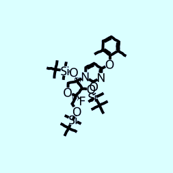 Cc1cccc(C)c1Oc1ccn([C@]2(O[Si](C)(C)C(C)(C)C)CO[C@](F)(CO[Si](C)(C)C(C)(C)C)C2O[Si](C)(C)C(C)(C)C)c(=O)n1